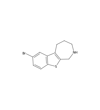 Brc1ccc2sc3c(c2c1)CCCNC3